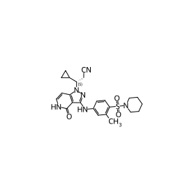 Cc1cc(Nc2nn([C@@H](CC#N)C3CC3)c3cc[nH]c(=O)c23)ccc1S(=O)(=O)N1CCCCC1